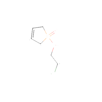 O=P1(OCCCl)CC=CC1